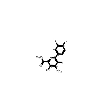 COC(=O)c1nc(-c2ccc(I)c(F)c2)c(C)c(N)c1Cl